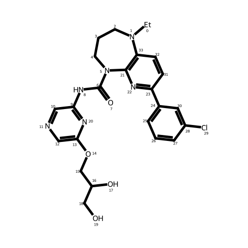 CCN1CCCN(C(=O)Nc2cncc(OCC(O)CO)n2)c2nc(-c3cccc(Cl)c3)ccc21